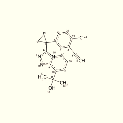 C#Cc1cc(C2(c3nnc4c(C(C)(C)O)cccn34)CC2)ccc1Cl